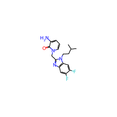 CC(C)CCn1c(Cn2cccc(N)c2=O)nc2cc(F)c(F)cc21